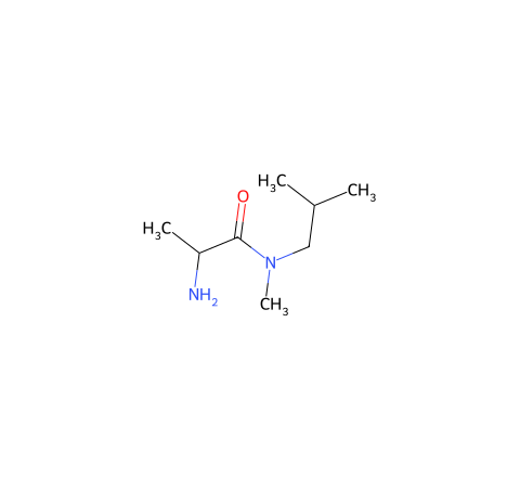 CC(C)CN(C)C(=O)C(C)N